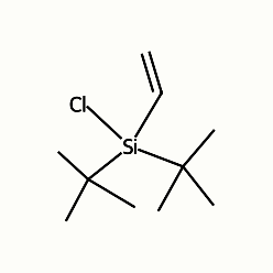 C=C[Si](Cl)(C(C)(C)C)C(C)(C)C